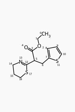 CCOC(=O)C(Cc1cccs1)C1=NCCCS1